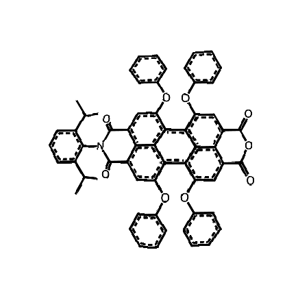 CC(C)c1cccc(C(C)C)c1N1C(=O)c2cc(Oc3ccccc3)c3c4c(Oc5ccccc5)cc5c6c(cc(Oc7ccccc7)c(c7c(Oc8ccccc8)cc(c2c37)C1=O)c64)C(=O)OC5=O